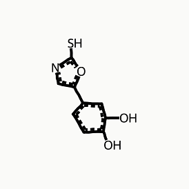 Oc1ccc(-c2cnc(S)o2)cc1O